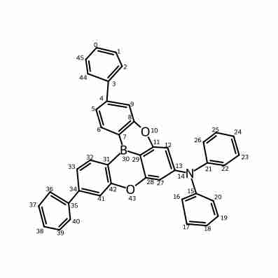 c1ccc(-c2ccc3c(c2)Oc2cc(N(c4ccccc4)c4ccccc4)cc4c2B3c2ccc(-c3ccccc3)cc2O4)cc1